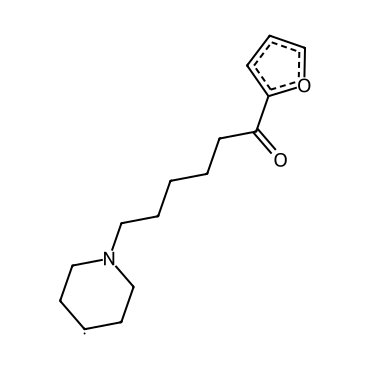 O=C(CCCCCN1CC[CH]CC1)c1ccco1